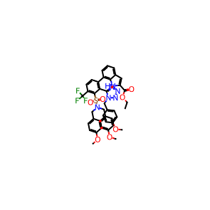 CCOC(=O)c1cc2cccc(-c3ccc(C(F)(F)F)c(S(=O)(=O)N(Cc4ccc(OC)cc4)Cc4ccc(OC)cc4)c3-c3nnnn3Cc3ccc(OC)cc3)c2[nH]1